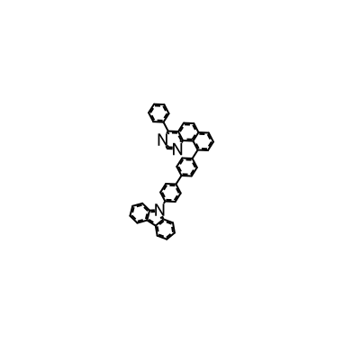 c1ccc(-c2ncnc3c2ccc2cccc(-c4ccc(-c5ccc(-n6c7ccccc7c7ccccc76)cc5)cc4)c23)cc1